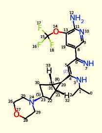 CC(C)N/C(=C\C(=N)c1cnc(N)c(OC(F)(F)F)c1)[C@H]1[C@@H]2C[C@@H](N3CCOCC3)C[C@@H]21